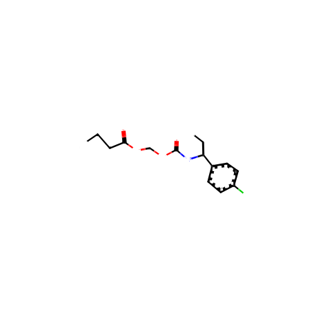 [CH2]CC(NC(=O)OCOC(=O)CCC)c1ccc(Cl)cc1